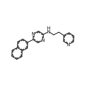 c1cncc(CCNc2cnc(-c3ccc4ccccc4c3)cn2)c1